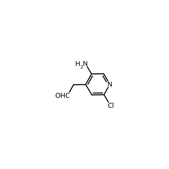 Nc1cnc(Cl)cc1CC=O